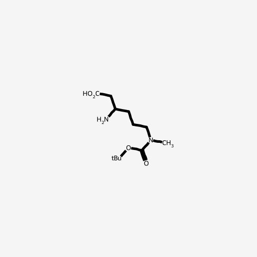 CN(CCCC(N)CC(=O)O)C(=O)OC(C)(C)C